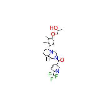 Cc1c(OC[C@H](C)O)ccc([C@H]2CCC[C@H]3CN(C(=O)c4ccc(C(F)(F)F)nc4)CCN32)c1C